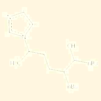 CCCCC(C)C(CCCC)CCC(C)n1ccnc1